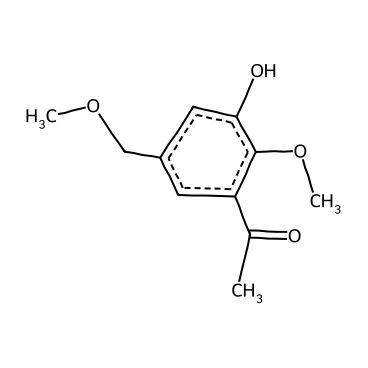 COCc1cc(O)c(OC)c(C(C)=O)c1